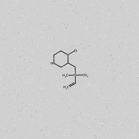 C=C[Si](C)(C)CC1CNCCN1CC